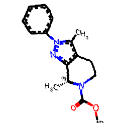 Cc1c2c(nn1-c1ccccc1)[C@@H](C)N(C(=O)OC(C)(C)C)CC2